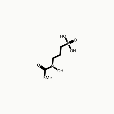 CSC(=O)N(O)CCCP(=O)(O)O